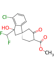 COC(=O)C1CC[C@]2(CC1=O)CC(O)(C(F)F)c1c(Cl)cccc12